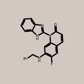 CC(C)CNc1cc2c(ccc(=O)n2-c2nc3ccccc3[nH]2)cc1F